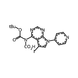 CC(C)(C)OC(=O)N(C(=O)O)c1ncnc2c1c(I)cn2-c1ccncc1